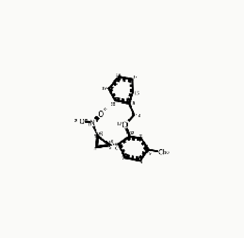 O=[N+]([O-])[C@@H]1C[C@H]1c1ccc(Cl)cc1OCc1ccccc1